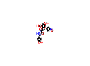 O=Nc1ccc(Oc2cc(O)cc(O)c2-c2cc(C(=O)NCCc3ccc(O)cc3)no2)cc1